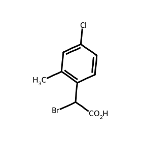 Cc1cc(Cl)ccc1C(Br)C(=O)O